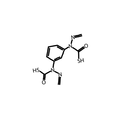 C=NN(C(=O)S)c1cccc(N(N=C)C(=O)S)c1